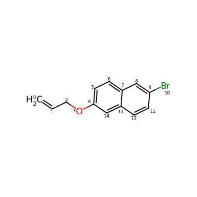 C=CCOc1ccc2cc(Br)ccc2c1